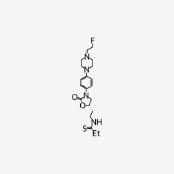 CCC(=S)NCC[C@H]1CN(c2ccc(N3CCN(CCF)CC3)cc2)C(=O)O1